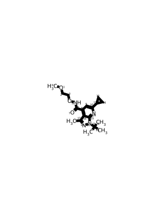 COCCONC(=O)c1cc(C2CC2)nc2c1c(C)nn2C(C)(C)C